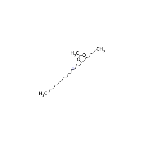 CCCCCCCCCCCC/C=C/CCC(CCCCCCC)OC(C)=O